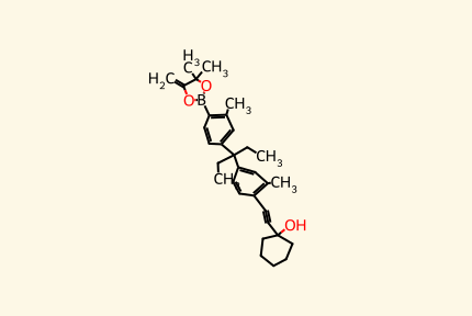 C=C1OB(c2ccc(C(CC)(CC)c3ccc(C#CC4(O)CCCCC4)c(C)c3)cc2C)OC1(C)C